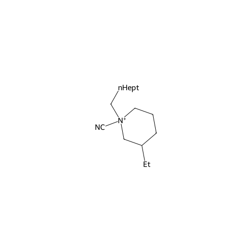 CCCCCCCC[N+]1(C#N)CCCC(CC)C1